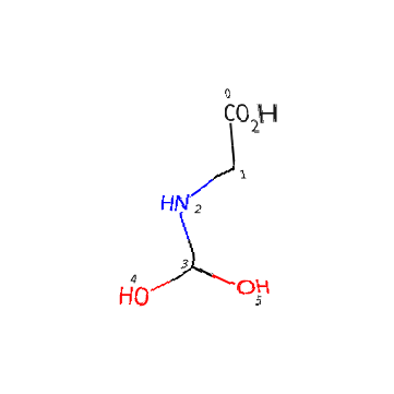 O=C(O)CNC(O)O